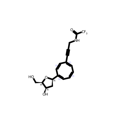 O=C(NCC#CC1=C/C=C\C=C([C@H]2C[C@@H](O)[C@@H](CO)O2)/C=C\1)C(F)(F)F